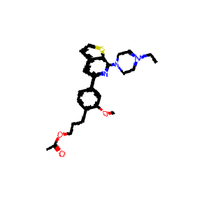 CCN1CCN(c2nc(-c3ccc(CCCOC(C)=O)c(OC)c3)cc3ccsc23)CC1